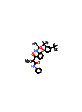 CCCC(=O)Nc1c(Oc2ccc(C(C)(C)CC)cc2C(C)(C)CC)cccc1C(=O)C(OC)C(=O)Nc1ccccc1